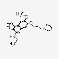 CCNc1nc2cc(OCCCN3CCCC3)c(OC)cc2c2c1COC2